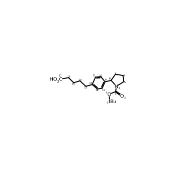 CC(C)(C)OC(=O)N1CCCC1c1ccc(CCCCC(=O)O)cc1